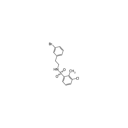 Cc1c(Cl)cccc1S(=O)(=O)NCCc1cccc(Br)c1